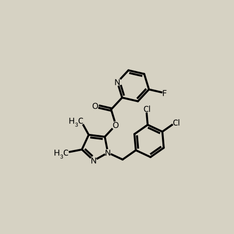 Cc1nn(Cc2ccc(Cl)c(Cl)c2)c(OC(=O)c2cc(F)ccn2)c1C